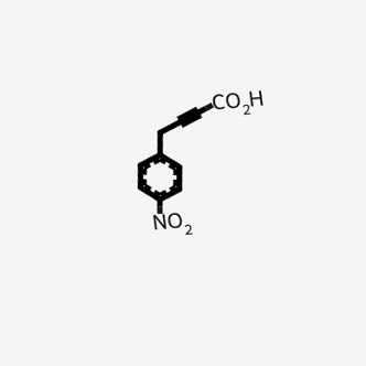 O=C(O)C#CCc1ccc([N+](=O)[O-])cc1